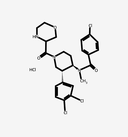 CN(C(=O)c1ccc(Cl)cc1)[C@@H]1CCN(C(=O)C2COCCN2)C[C@H]1c1ccc(Cl)c(Cl)c1.Cl